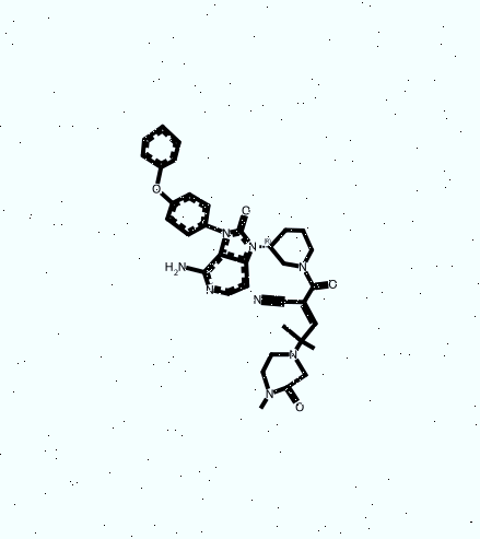 CN1CCN(C(C)(C)C=C(C#N)C(=O)N2CCC[C@@H](n3c(=O)n(-c4ccc(Oc5ccccc5)cc4)c4c(N)nccc43)C2)CC1=O